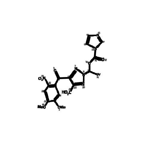 COc1cc(C(=O)c2nn(C(OC(=O)n3ccnc3)C(C)C)nc2C(=O)O)c([N+](=O)[O-])cc1OC